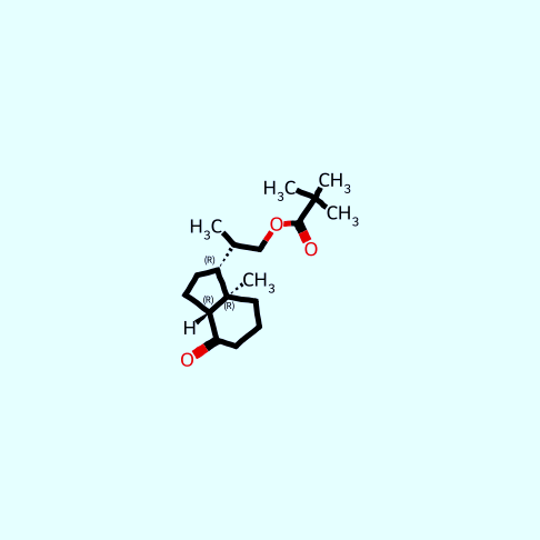 CC(COC(=O)C(C)(C)C)[C@H]1CC[C@H]2C(=O)CCC[C@]12C